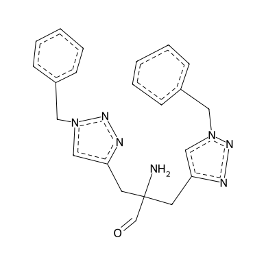 NC(C=O)(Cc1cn(Cc2ccccc2)nn1)Cc1cn(Cc2ccccc2)nn1